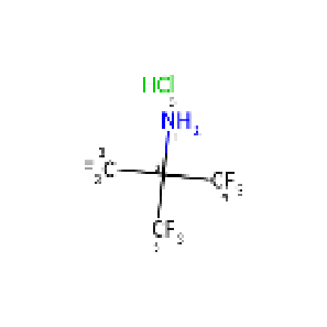 Cl.NC(C(F)(F)F)(C(F)(F)F)C(F)(F)F